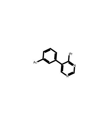 CC(=O)c1cccc(-c2cncnc2C(C)C)c1